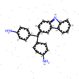 Nc1ccc(C(c2ccc(N)cc2)=c2ccc3c(c2)-c2ccccc2N=3)cc1